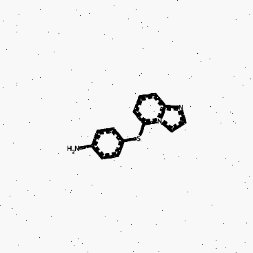 Nc1ccc(Sc2cccc3nccn23)cc1